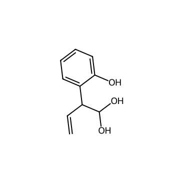 C=CC(c1ccccc1O)C(O)O